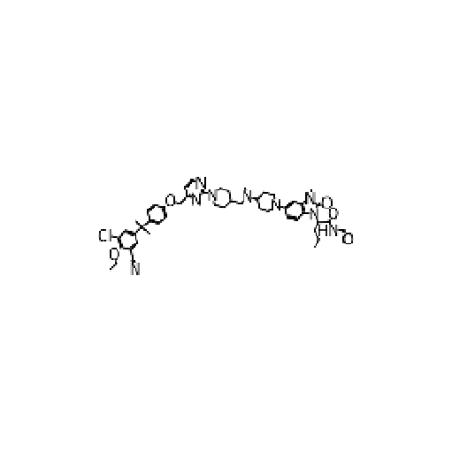 CCCC(C(=O)NC=O)n1c(=O)n(C)c2cc(N3CCC(N(C)CC4CCN(c5nccc(COc6ccc(C(C)(C)c7cc(Cl)c(OCC)c(C#N)c7)cc6)n5)CC4)CC3)ccc21